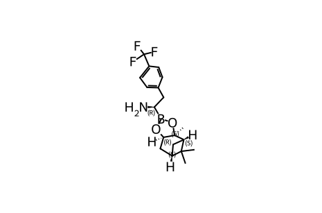 CC1(C)[C@@H]2C[C@H]3OB([C@@H](N)Cc4ccc(C(F)(F)F)cc4)O[C@@]3(C)[C@H]1C2